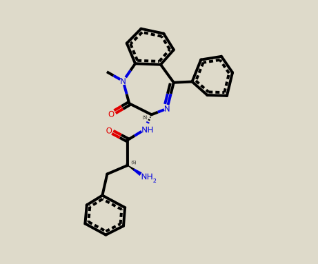 CN1C(=O)[C@@H](NC(=O)[C@@H](N)Cc2ccccc2)N=C(c2ccccc2)c2ccccc21